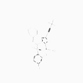 COP(=O)(c1ccc(Cl)cc1Cl)N(CC1CCOCC1)c1cc(C#CC(C)(C)C)sc1C(=O)O